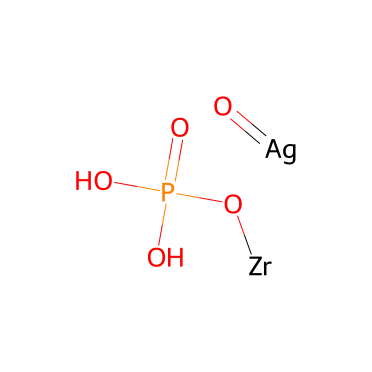 O=P(O)(O)[O][Zr].[O]=[Ag]